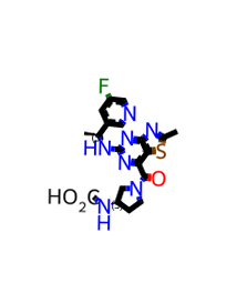 Cc1nc2nc(N[C@@H](C)c3cncc(F)c3)nc(C(=O)N3CC[C@H](NC(=O)O)C3)c2s1